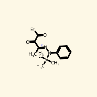 CCC(=O)C(=O)/C(C)=N/N(c1ccccc1)[Si](C)(C)C